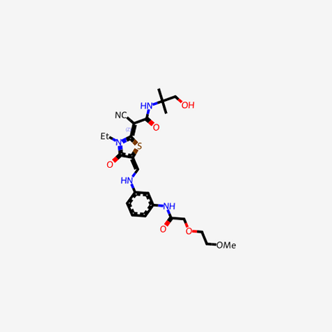 CCn1c(=O)c(=CNc2cccc(NC(=O)COCCOC)c2)s/c1=C(/C#N)C(=O)NC(C)(C)CO